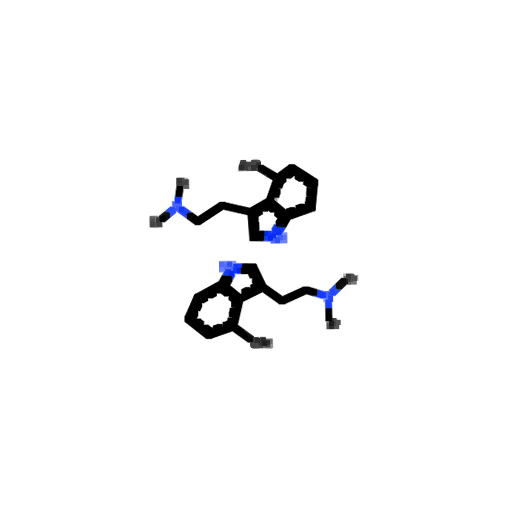 CC(=O)Oc1cccc2[nH]cc(CCN(C(C)C)C(C)C)c12.CCN(CC)CCc1c[nH]c2cccc(OC(C)=O)c12